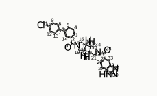 O=C(c1cccc(-c2ccc(Cl)cc2)c1)N1C[C@@H]2[C@H](C1)[C@H]1CN(C(=O)c3ccc4[nH]nnc4c3)C[C@@H]21